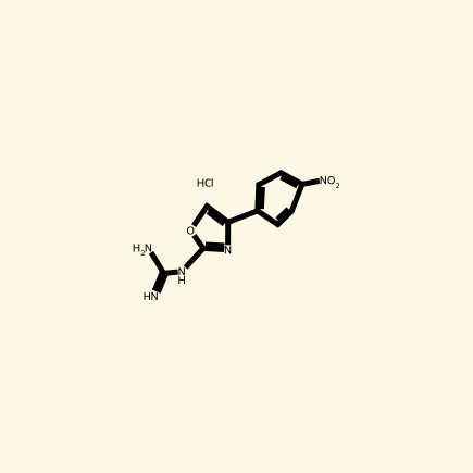 Cl.N=C(N)Nc1nc(-c2ccc([N+](=O)[O-])cc2)co1